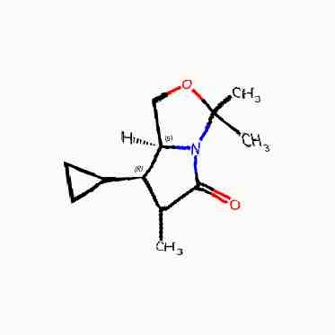 CC1C(=O)N2[C@H](COC2(C)C)[C@@H]1C1CC1